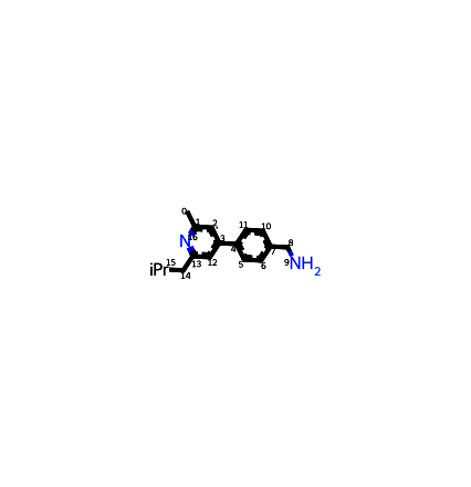 Cc1[c]c(-c2ccc(CN)cc2)cc(CC(C)C)n1